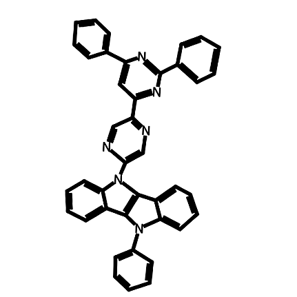 c1ccc(-c2cc(-c3cnc(-n4c5ccccc5c5c4c4ccccc4n5-c4ccccc4)cn3)nc(-c3ccccc3)n2)cc1